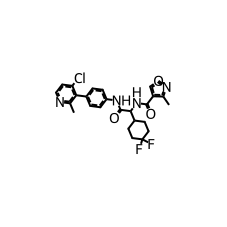 Cc1nocc1C(=O)NC(C(=O)Nc1ccc(-c2c(Cl)ccnc2C)cc1)C1CCC(F)(F)CC1